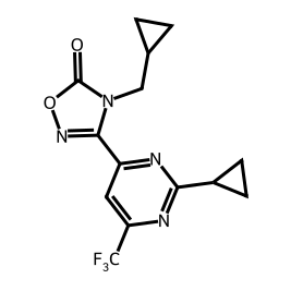 O=c1onc(-c2cc(C(F)(F)F)nc(C3CC3)n2)n1CC1CC1